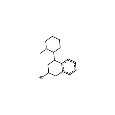 CN1CCCCC1C1CC(O)Cc2ccccc21